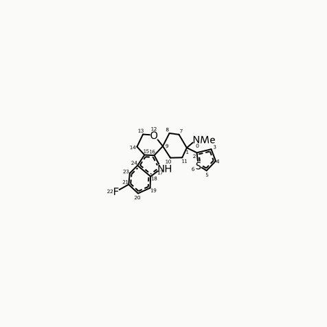 CNC1(c2cccs2)CCC2(CC1)OCCc1c2[nH]c2ccc(F)cc12